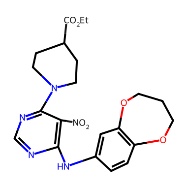 CCOC(=O)C1CCN(c2ncnc(Nc3ccc4c(c3)OCCCO4)c2[N+](=O)[O-])CC1